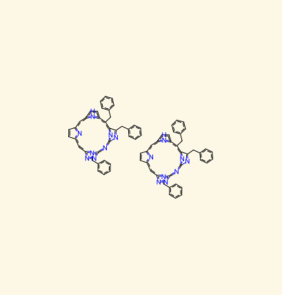 C1=Cc2cc3nnc(nc4nc(c(Cc5ccccc5)c5ccc(cc1n2)[nH]5)C(Cc1ccccc1)=N4)n3Cc1ccccc1.C1=Cc2cc3nnc(nc4nc(c(Cc5ccccc5)c5ccc(cc1n2)[nH]5)C(Cc1ccccc1)=N4)n3Cc1ccccc1